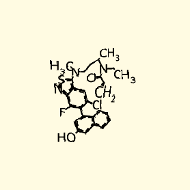 C=CC(=O)N(CC)C(C)CCN(C)c1snc2c(F)c(-c3cc(O)cc4ccccc34)c(Cl)cc12